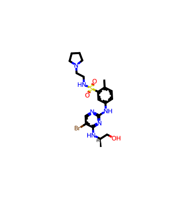 Cc1ccc(Nc2ncc(Br)c(N[C@H](C)CO)n2)cc1S(=O)(=O)NCCN1CCCC1